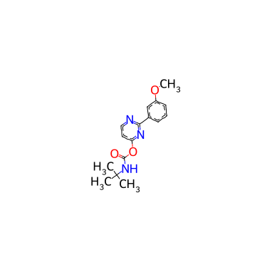 COc1cccc(-c2nccc(OC(=O)NC(C)(C)C)n2)c1